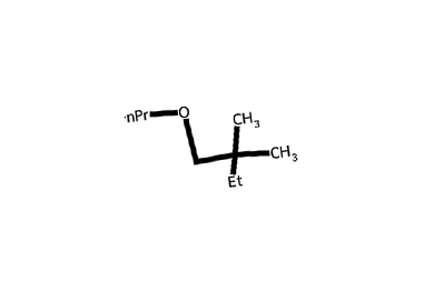 CC[CH]OCC(C)(C)CC